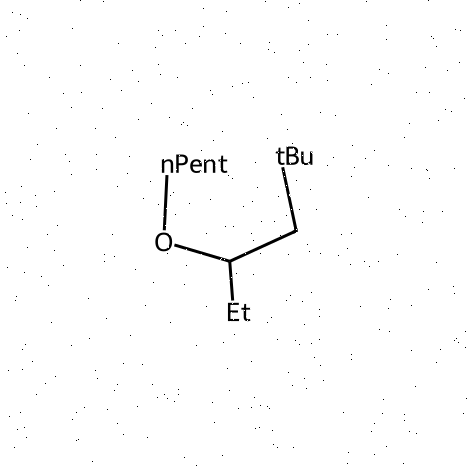 [CH2]CC(CC(C)(C)C)OCCCCC